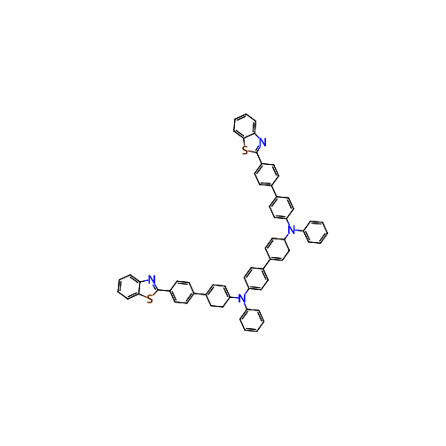 C1=CC(N(c2ccccc2)c2ccc(-c3ccc(-c4nc5ccccc5s4)cc3)cc2)CC=C1c1ccc(N(C2=CC=C(c3ccc(-c4nc5ccccc5s4)cc3)CC2)c2ccccc2)cc1